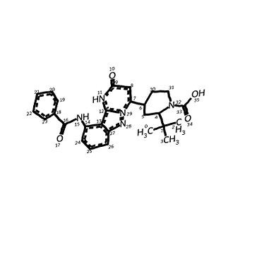 CC(C)(C)C1CC(c2cc(=O)[nH]c3c4c(NC(=O)c5ccccc5)cccc4nn23)CCN1C(=O)O